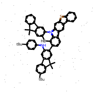 CC(C)(C)c1ccc(Nc2cc3c(cc2-c2ccc4c5cc6c(cc5n5c4c2Bc2cc4c(cc2-5)-c2ccccc2C4(C)C)sc2ccccc26)C(C)(C)c2cc(C(C)(C)C)ccc2-3)cc1